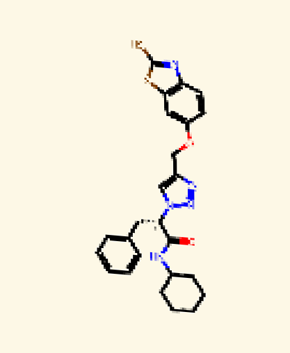 O=C(NC1CCCCC1)[C@H](Cc1ccccc1)n1cc(COc2ccc3nc(S)sc3c2)nn1